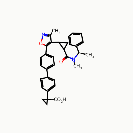 Cc1noc(-c2ccc(-c3ccc(C4(C(=O)O)CC4)cc3)cc2)c1C1CC1C(=O)N(C)[C@H](C)c1ccccc1